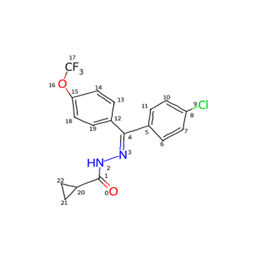 O=C(NN=C(c1ccc(Cl)cc1)c1ccc(OC(F)(F)F)cc1)C1CC1